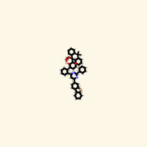 CC1(C)c2ccccc2C2(c3ccccc3Oc3c(-c4ccccc4-c4cc(-c5ccc6c(c5)sc5ccccc56)nc(-c5ccccc5)n4)cccc32)c2ccccc21